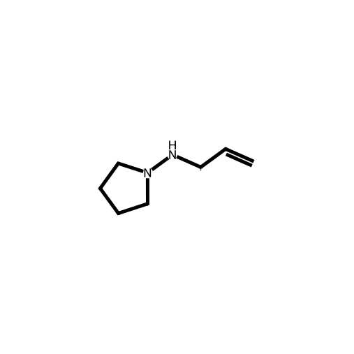 C=C[CH]NN1CCCC1